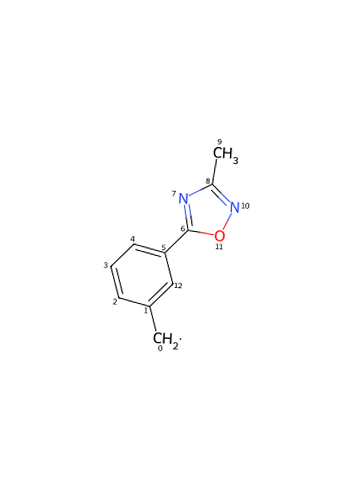 [CH2]c1cccc(-c2nc(C)no2)c1